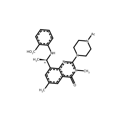 CC(=O)N1CCN(c2nc3c([C@@H](C)Nc4ccccc4C(=O)O)cc(C)cc3c(=O)n2C)CC1